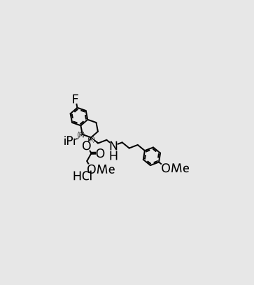 COCC(=O)O[C@@]1(CCNCCCc2ccc(OC)cc2)CCc2cc(F)ccc2[C@H]1C(C)C.Cl